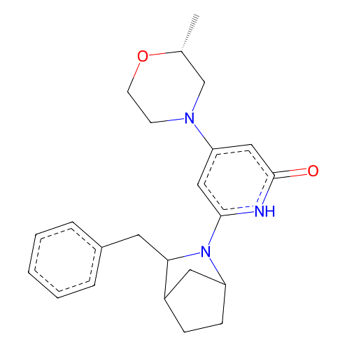 C[C@@H]1CN(c2cc(N3C4CCC(C4)C3Cc3ccccc3)[nH]c(=O)c2)CCO1